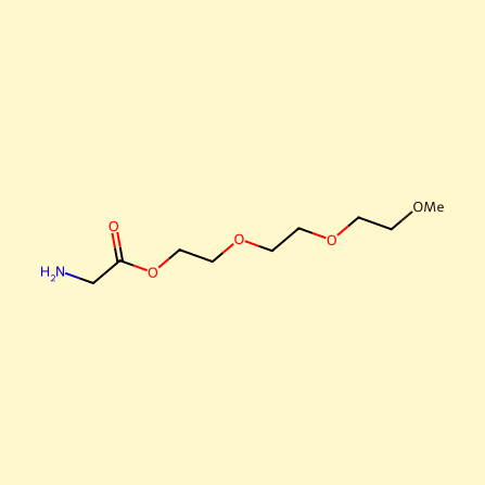 COCCOCCOCCOC(=O)CN